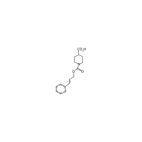 O=C(O)C1CCN(C(=O)OC/C=C/c2ccccc2)CC1